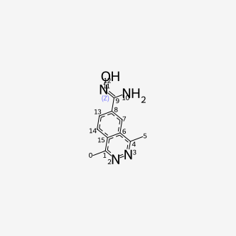 Cc1nnc(C)c2cc(/C(N)=N/O)ccc12